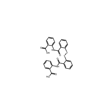 O=C(O)c1ccccc1NC(=O)c1ccccc1SSc1ccccc1C(=O)Nc1ccccc1C(=O)O